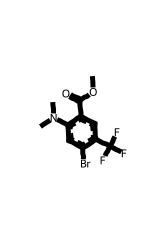 COC(=O)c1cc(C(F)(F)F)c(Br)cc1N(C)C